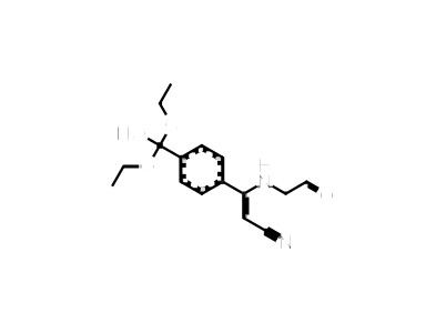 CCOC(O)(OCC)c1ccc(C(=CC#N)NCC=O)cc1